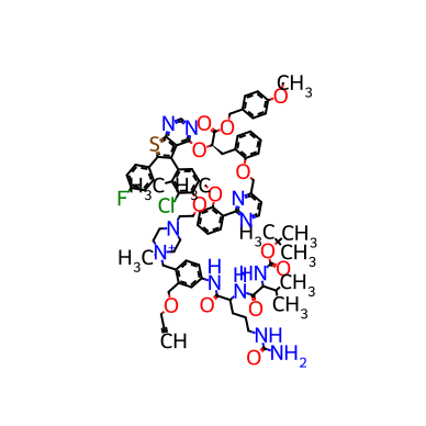 C#CCOCc1cc(NC(=O)C(CCCNC(N)=O)NC(=O)C(NC(=O)OC(C)(C)C)C(C)C)ccc1C[N+]1(C)CCN(CCOc2ccc(-c3c(-c4ccc(F)cc4)sc4ncnc(O[C@H](Cc5ccccc5OCc5ccnc(-c6ccccc6OC)n5)C(=O)OCc5ccc(OC)cc5)c34)c(C)c2Cl)CC1